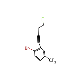 FCCC#Cc1cc(C(F)(F)F)ccc1Br